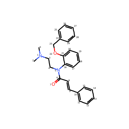 CN(C)CCN(C(=O)/C=C/c1ccccc1)c1ccccc1OCc1ccccc1